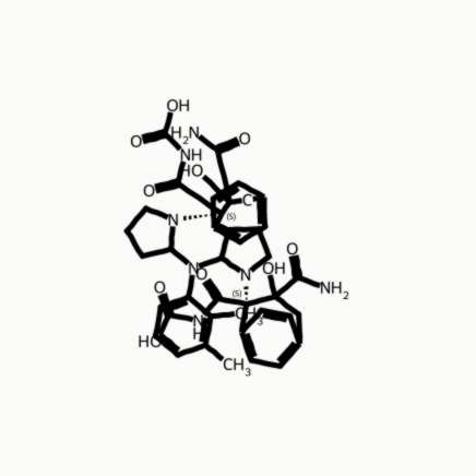 Cc1cccc(N(C2CCCN2[C@@]2(C(=O)NC(=O)O)c3ccc(cc3)CC2(O)C(N)=O)C2CCCN2[C@@]2(C(=O)NC(=O)O)c3ccc(cc3)CC2(O)C(N)=O)c1C